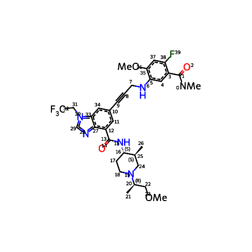 CNC(=O)c1cc(NCC#Cc2cc(C(=O)N[C@H]3CCN([C@H](C)COC)C[C@@H]3C)c3ncn(CC(F)(F)F)c3c2)c(OC)cc1F